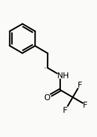 O=C(N[CH]Cc1ccccc1)C(F)(F)F